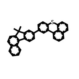 CC1(C)c2cc(-c3ccc4c(c3)-c3cccc5cccc(c35)S4)ccc2-c2c1ccc1ccccc21